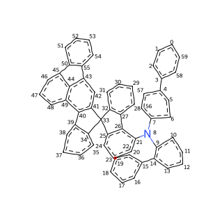 c1ccc(-c2ccc(N(c3ccccc3-c3ccccc3)c3cccc4c3-c3ccccc3C43c4ccccc4-c4c3cc3c5c(cccc45)-c4ccccc4-3)cc2)cc1